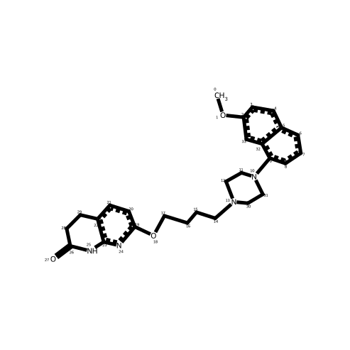 COc1ccc2cccc(N3CCN(CCCCOc4ccc5c(n4)NC(=O)CC5)CC3)c2c1